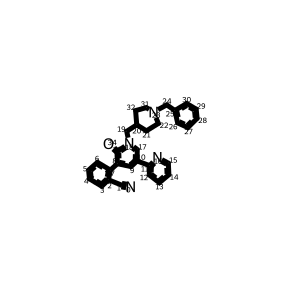 N#Cc1ccccc1-c1cc(-c2ccccn2)cn(CC2CCN(Cc3ccccc3)CC2)c1=O